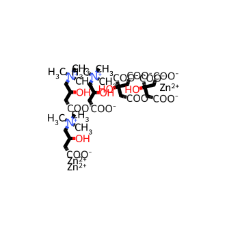 C[N+](C)(C)CC(O)CC(=O)[O-].C[N+](C)(C)CC(O)CC(=O)[O-].C[N+](C)(C)CC(O)CC(=O)[O-].O=C([O-])CC(O)(CC(=O)[O-])C(=O)[O-].O=C([O-])CC(O)(CC(=O)[O-])C(=O)[O-].[Zn+2].[Zn+2].[Zn+2]